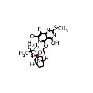 CSc1nc(O)c2c(OCC[C@H]3NC[C@H]4CC[C@@H]3N4C(=O)OC(C)(C)C)nc(Cl)c(F)c2n1